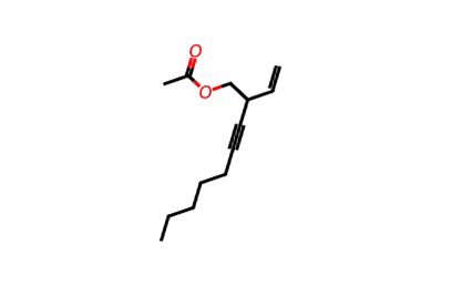 C=CC(C#CCCCCC)COC(C)=O